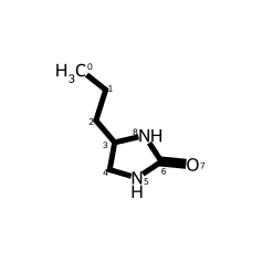 CCCC1CNC(=O)N1